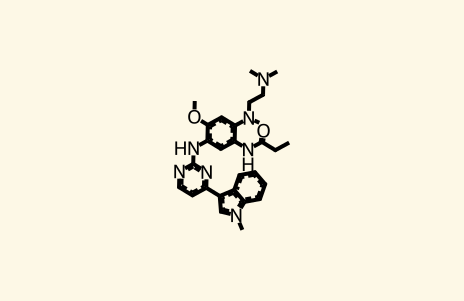 CCC(=O)Nc1cc(Nc2nccc(-c3cn(C)c4ccccc34)n2)c(OC)cc1N(C)CCN(C)C